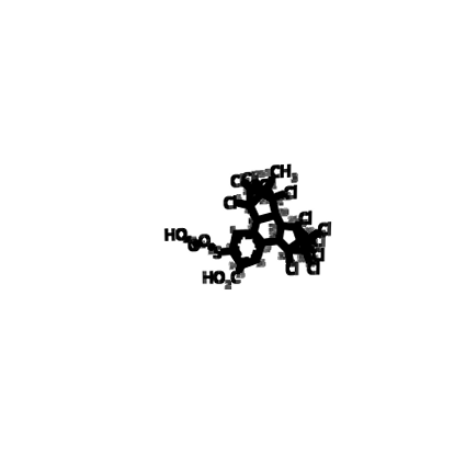 CC1=C(Cl)C2(Cl)C3c4cc(SOOO)c(C(=O)O)cc4C4C(C3C1(Cl)C2(Cl)Cl)C1(Cl)C(Cl)=C(Cl)C4(Cl)C1(Cl)Cl